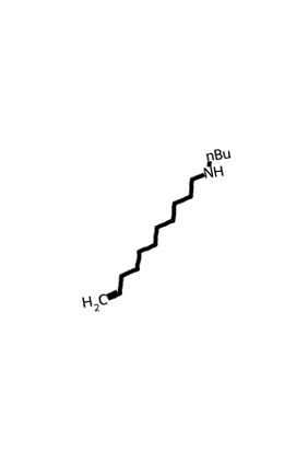 C=CCCCCCCCCCNCCCC